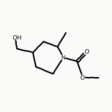 COC(=O)N1CCC(CO)CC1C